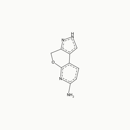 Nc1ccc2c(n1)OCc1n[nH]cc1-2